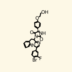 O=C1N[C@H](c2ccc(OCCO)cc2)C(=O)N1C(Cc1ccccc1)c1ncc(-c2ccc(Br)c(F)c2)[nH]1